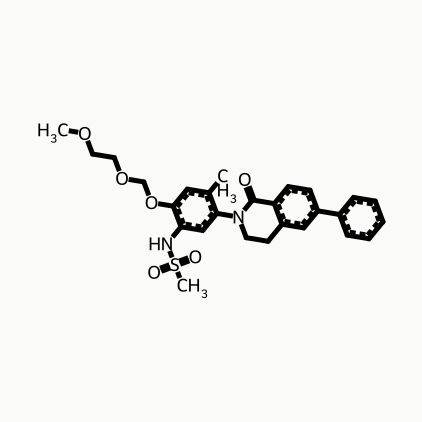 COCCOCOc1cc(C)c(N2CCc3cc(-c4ccccc4)ccc3C2=O)cc1NS(C)(=O)=O